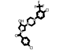 O=C(c1ccc(Cl)cc1)N1CC(O)C(N2CCN(c3ccc(Cl)c(C(F)(F)F)c3)CC2)C1